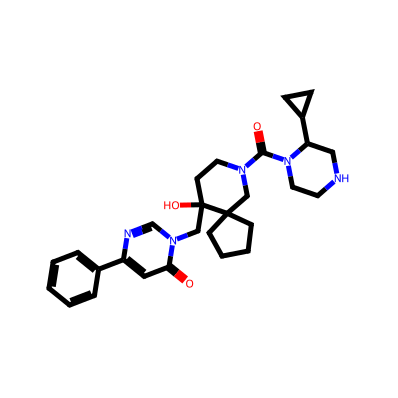 O=C(N1CCC(O)(Cn2cnc(-c3ccccc3)cc2=O)C2(CCCC2)C1)N1CCNCC1C1CC1